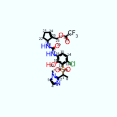 CC(c1nccn1C)S(=O)(=O)c1c(Cl)ccc(NC(=O)NC2CCC=C2COC(=O)C(F)(F)F)c1O